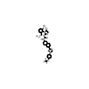 CCc1cccc(C)c1N1C(=O)CS/C1=N\C(=O)NC1CCc2cc(-c3ncn(-c4ccc(OC(F)(F)F)cc4)n3)ccc2C1